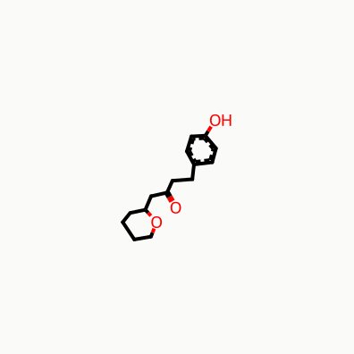 O=C(CCc1ccc(O)cc1)CC1CCCCO1